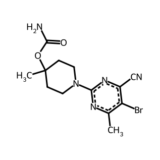 Cc1nc(N2CCC(C)(OC(N)=O)CC2)nc(C#N)c1Br